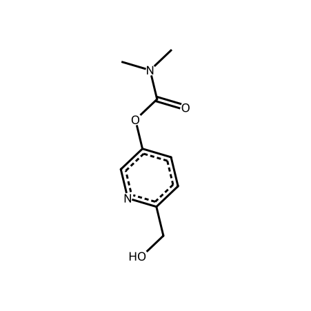 CN(C)C(=O)Oc1ccc(CO)nc1